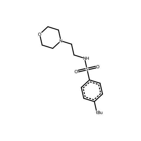 CC(C)(C)c1ccc(S(=O)(=O)NCCN2CCOCC2)cc1